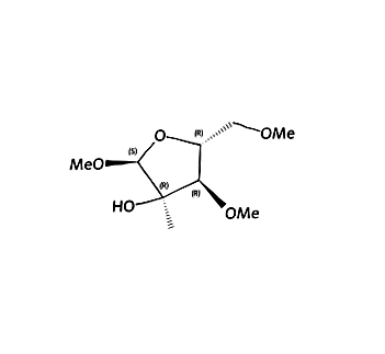 COC[C@H]1O[C@H](OC)[C@](C)(O)[C@@H]1OC